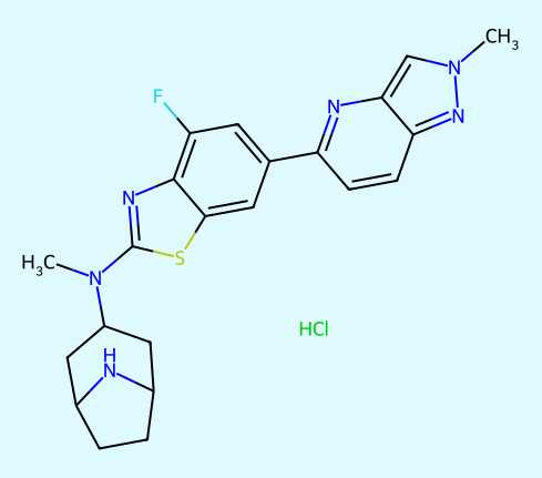 CN(c1nc2c(F)cc(-c3ccc4nn(C)cc4n3)cc2s1)C1CC2CCC(C1)N2.Cl